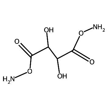 NOC(=O)C(O)C(O)C(=O)ON